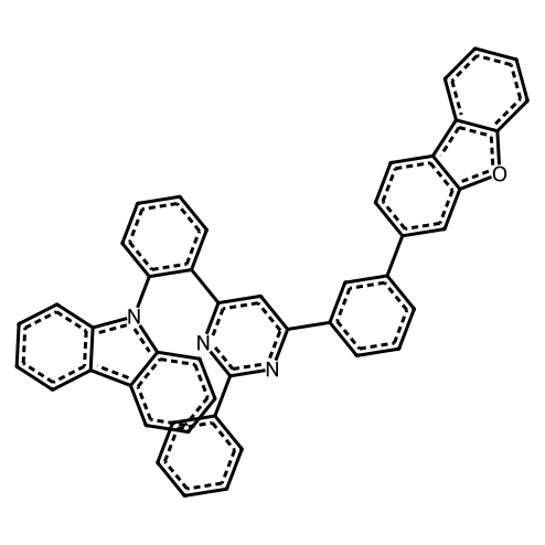 c1ccc(-c2nc(-c3cccc(-c4ccc5c(c4)oc4ccccc45)c3)cc(-c3ccccc3-n3c4ccccc4c4ccccc43)n2)cc1